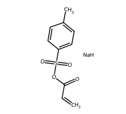 C=CC(=O)OS(=O)(=O)c1ccc(C)cc1.[NaH]